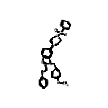 O=S(=O)(c1ccccc1)N1CCN(c2ccc3nc(COc4ccccc4)n(Cc4ccc(OC(F)(F)F)cc4)c3c2)CC1